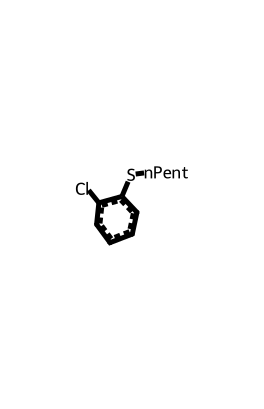 CCCCCSc1ccccc1Cl